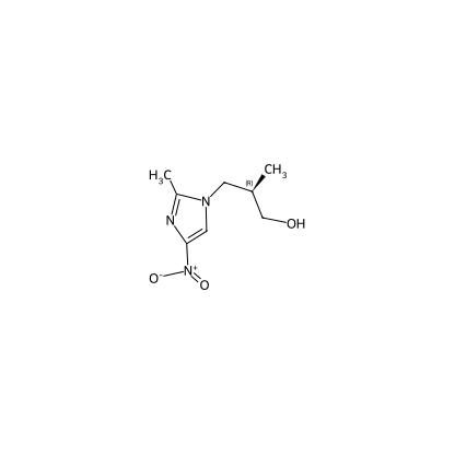 Cc1nc([N+](=O)[O-])cn1C[C@@H](C)CO